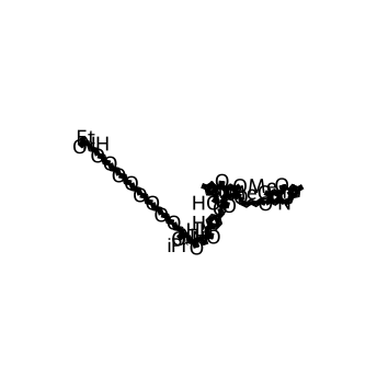 CCC(=O)NCCOCCOCCOCCOCCOCCOCCOCCOCCC(=O)N[C@H](C(=O)NC(C)C(=O)Nc1ccc(COC(=O)N2c3cc(OCCCCCOc4cc5c(cc4OC)C(=O)N4C=C(C)CC4C=N5)c(OC)cc3C(=O)N3C=C(C)CC3C2O)cc1)C(C)C